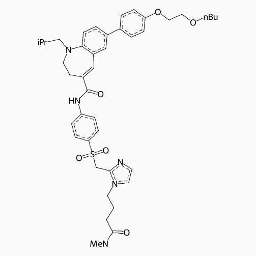 CCCCOCCOc1ccc(-c2ccc3c(c2)C=C(C(=O)Nc2ccc(S(=O)(=O)Cc4nccn4CCCC(=O)NC)cc2)CCN3CC(C)C)cc1